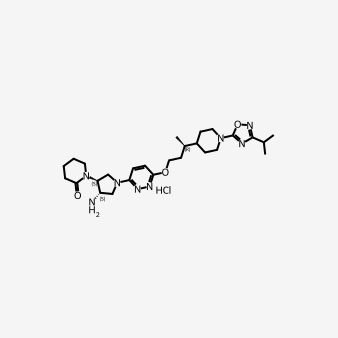 CC(C)c1noc(N2CCC([C@H](C)CCOc3ccc(N4C[C@H](N)[C@@H](N5CCCCC5=O)C4)nn3)CC2)n1.Cl